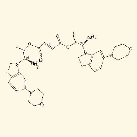 CC(OC(=O)/C=C/C(=O)OC(C)[C@@H](N)N1CCc2ccc(N3CCOCC3)cc21)[C@@H](N)N1CCc2ccc(N3CCOCC3)cc21